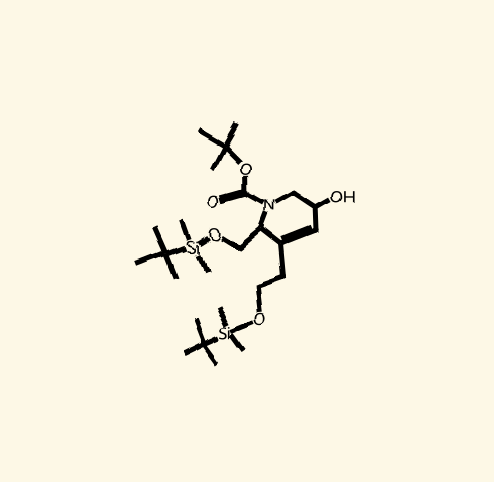 CC(C)(C)OC(=O)N1CC(O)C=C(CCO[Si](C)(C)C(C)(C)C)C1CO[Si](C)(C)C(C)(C)C